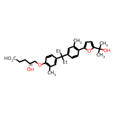 CCC(CC)(c1ccc(OC[C@H](O)CCC(=O)O)c(C)c1)c1ccc(-c2ccc(C(C)(C)O)o2)c(C)c1